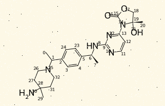 CC(c1ccc([C@H](C)Nc2nccc(N3C(=O)OC[C@]3(C)O)n2)cc1)N1CCC(C)(N)CC1